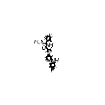 NCC(NC(=O)c1ccn(-c2ccnc(Nc3ccc(F)cc3)c2)c1)c1ccccc1